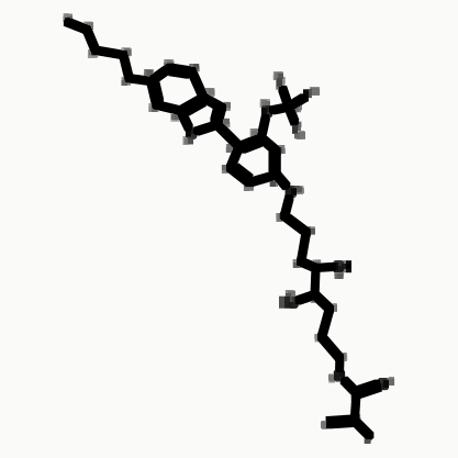 C=C(C)C(=O)OCCCC(O)C(O)CCCOc1ccc(-c2cc3ccc(CCCCC)cc3o2)c(OC(F)(F)F)c1